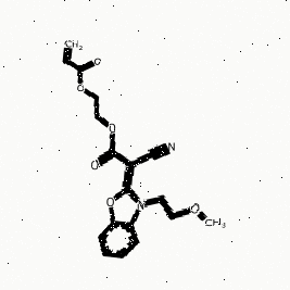 C=CC(=O)OCCOC(=O)/C(C#N)=C1\Oc2ccccc2N1CCOC